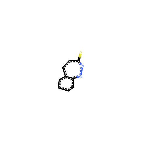 S=c1ccc2ccccc2nn1